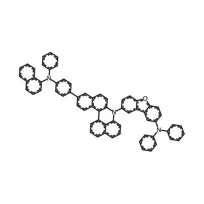 c1ccc(N(c2ccccc2)c2ccc3oc4ccc(N5c6ccc7cc(-c8ccc(N(c9ccccc9)c9cccc%10ccccc9%10)cc8)ccc7c6-c6cccc7cccc5c67)cc4c3c2)cc1